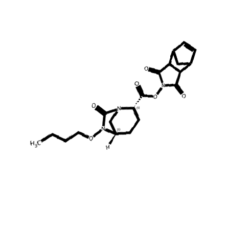 CCCCON1C(=O)N2C[C@@H]1CC[C@H]2C(=O)ON1C(=O)C2C3C=CC(C3)C2C1=O